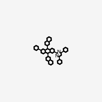 c1ccc(-c2ccc3c(-c4ccc5ccccc5c4)c4cc(-c5nc(-c6ccccc6)cc(-c6ccccc6)n5)ccc4c(-c4ccc5ccccc5c4)c3c2)cc1